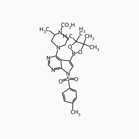 Cc1ccc(S(=O)(=O)n2cc(B3OC(C)(C)C(C)(C)O3)c3c(N4CCN(C(=O)O)C(C)C4)ncnc32)cc1